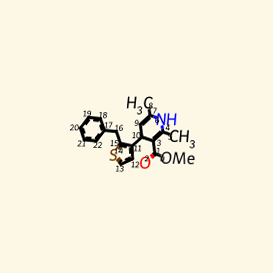 COC(=O)C1=C(C)NC(C)=CC1c1ccsc1Cc1ccccc1